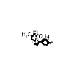 CCN(C(=O)O)[C@@H](C)Cn1ccc(-c2ccc(F)cc2)n1